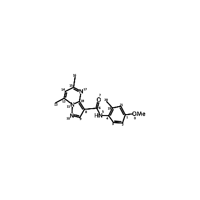 COc1ccc(NC(=O)c2cnn3c(C)cc(C)nc23)c(C)c1